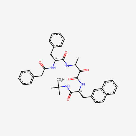 CC(NC(=O)[C@H](Cc1ccccc1)NC(=O)Cc1ccccc1)C(=O)C(=O)N[C@@H](Cc1ccc2ccccc2c1)C(=O)NC(C)(C)C(=O)O